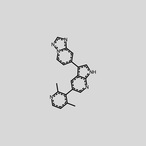 Cc1ccnc(C)c1-c1cnc2[nH]cc(-c3ccn4ncnc4c3)c2c1